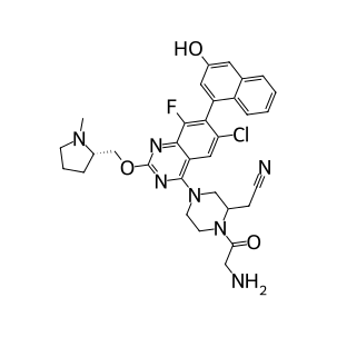 CN1CCC[C@H]1COc1nc(N2CCN(C(=O)CN)C(CC#N)C2)c2cc(Cl)c(-c3cc(O)cc4ccccc34)c(F)c2n1